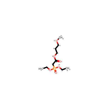 CCOP(=O)(CC(=O)OCCCOC)OCC